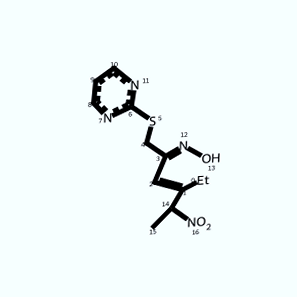 CCC(=CC(CSc1ncccn1)=NO)C(C)[N+](=O)[O-]